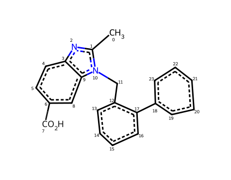 Cc1nc2ccc(C(=O)O)cc2n1Cc1ccccc1-c1ccccc1